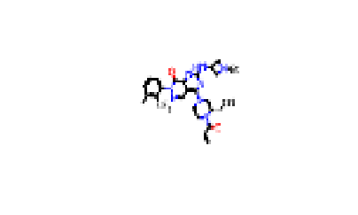 C=CC(=O)N1CCN(c2nc(NC3CN(CC)C3)nc3c(=O)n(-c4cccc(C)c4C(F)(F)F)ncc23)C[C@@H]1CC#N